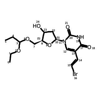 CCOC(CC)OC[C@@H]1O[C@H](n2cc(C=CBr)c(=O)[nH]c2=O)CC1O